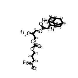 [CH2]C(COC(=O)CC1[C@H]2CC3CC(C2)C[C@@H]1C3)COC(=O)OCCCN(CC)CC